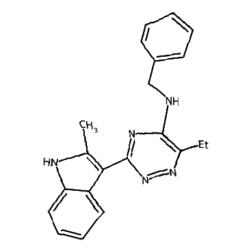 CCc1nnc(-c2c(C)[nH]c3ccccc23)nc1NCc1ccccc1